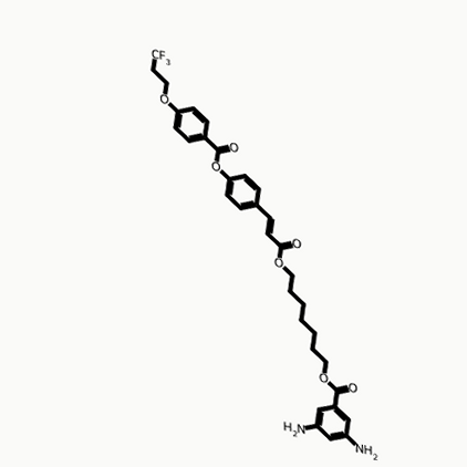 Nc1cc(N)cc(C(=O)OCCCCCCCOC(=O)C=Cc2ccc(OC(=O)c3ccc(OCCC(F)(F)F)cc3)cc2)c1